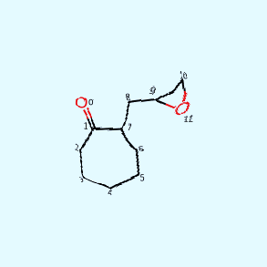 O=C1CCCCCC1CC1CO1